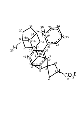 CCOC(=O)N1CC2(CC[C@@H](N3C[C@H]4CC[C@@H](C3)N4c3ncccc3-c3cnccn3)C2)C1